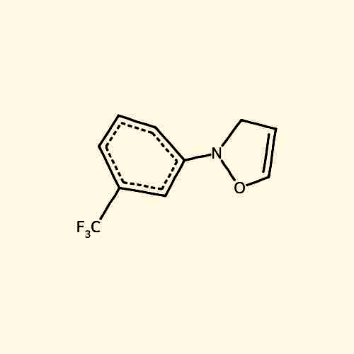 FC(F)(F)c1cccc(N2CC=CO2)c1